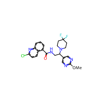 COc1ncc(C(CNC(=O)c2cccc3nc(Cl)ccc23)N2CCC(F)(F)CC2)cn1